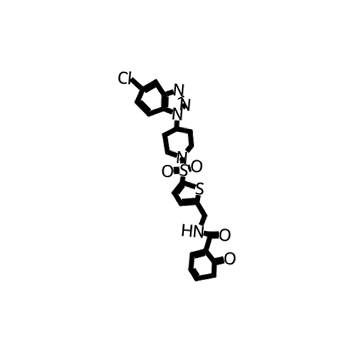 O=C1CC=CC=C1C(=O)NCc1ccc(S(=O)(=O)N2CCC(n3nnc4cc(Cl)ccc43)CC2)s1